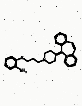 Nc1ccccc1SCCCN1CCC(=C2c3ccccc3C=Cc3ccccc32)CC1